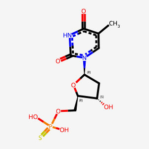 Cc1cn([C@H]2C[C@H](O)[C@@H](COP(O)(O)=S)O2)c(=O)[nH]c1=O